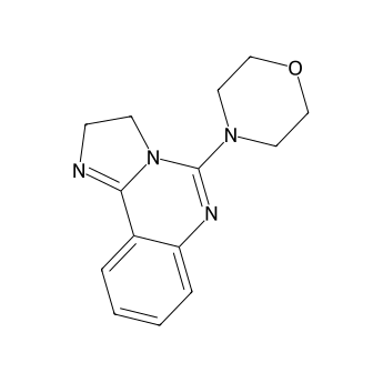 c1ccc2c(c1)N=C(N1CCOCC1)N1CCN=C21